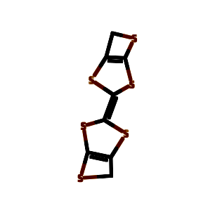 C1SC2=C1SC(=C1SC3=C(SC3)S1)S2